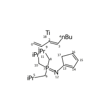 C=CC=CCCCC.CC(C)CP(CC(C)C)(CC(C)C)=NC1=CC=CC1.[Ti]